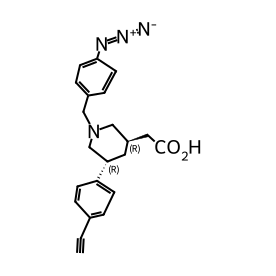 C#Cc1ccc([C@H]2C[C@H](CC(=O)O)CN(Cc3ccc(N=[N+]=[N-])cc3)C2)cc1